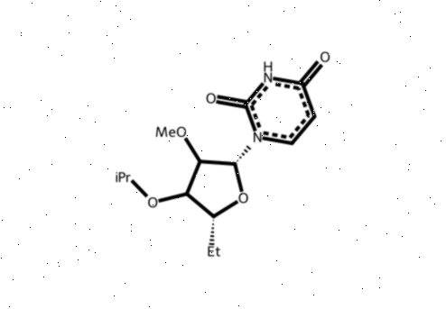 CC[C@H]1O[C@@H](n2ccc(=O)[nH]c2=O)C(OC)C1OC(C)C